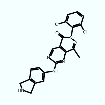 Cc1nn(-c2c(Cl)cccc2Cl)c(=O)c2cnc(Nc3ccc4c(c3)CNC4)nc12